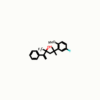 C=C(c1ccccc1)C(O)(CC(C)(C)c1cc(F)ccc1OC)C(F)(F)F